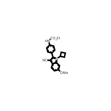 CCOC(=O)Nc1ccc(-c2c(C#N)c3ccc(OC)cc3n2C2CCC2)cc1